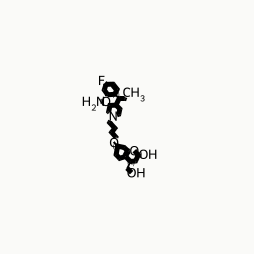 CCC(C1CCN(CCCCO[C@@H]2CCC3=C(C2)O[C@@H](O)C[C@H]3CO)CC1)[C@@H]1C=CC(F)CC1ON